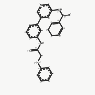 C[C@H](Nc1cncc(-c2cccc(NC(=O)CNc3ccccc3)c2)c1)C1=CCCC=C1